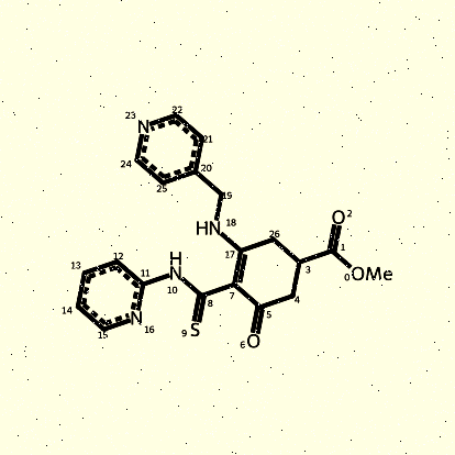 COC(=O)C1CC(=O)C(C(=S)Nc2ccccn2)=C(NCc2ccncc2)C1